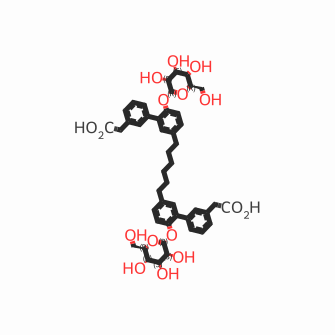 O=C(O)Cc1cccc(-c2cc(CCCCCCc3ccc(O[C@H]4O[C@H](CO)C(O)[C@H](O)[C@@H]4O)c(-c4cccc(CC(=O)O)c4)c3)ccc2O[C@H]2O[C@H](CO)[C@@H](O)[C@H](O)[C@@H]2O)c1